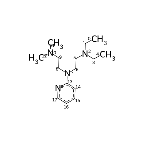 CCN(CC)CCN(CCN(C)C)c1ccccn1